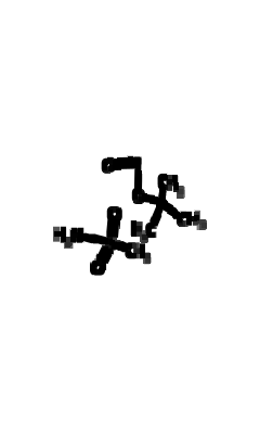 CC(C)(C)OC=O.CS(N)(=O)=O